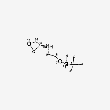 CC(C)(C)[Si](C)(C)OCCNC1COC1